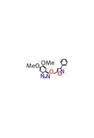 COc1cc2ncnc(OCc3cc(-c4ccccc4)no3)c2cc1OC